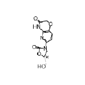 O=C1COc2ccc(N3C[C@H](CO)OC3=O)nc2N1